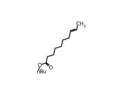 C/C=C/CCCCCCC(=O)OCCCC